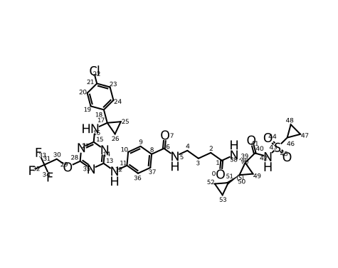 O=C(CCCNC(=O)c1ccc(Nc2nc(NC3(c4ccc(Cl)cc4)CC3)nc(OCC(F)(F)F)n2)cc1)N[C@]1(C(=O)NS(=O)(=O)C2CC2)C[C@H]1C1CC1